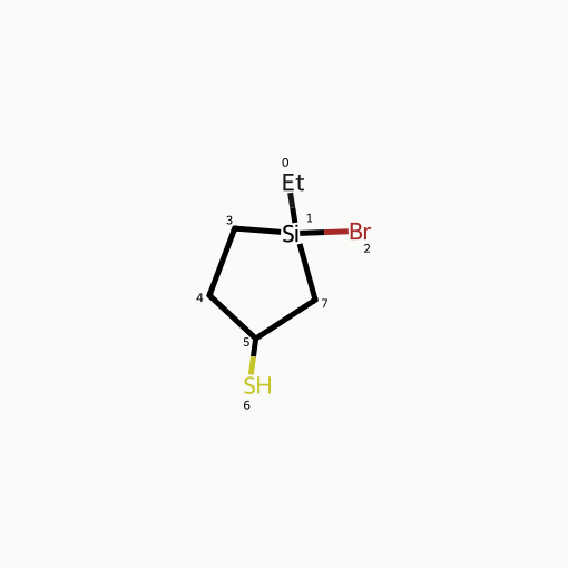 CC[Si]1(Br)CCC(S)C1